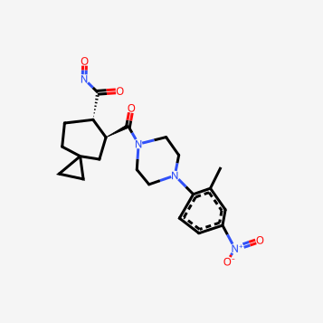 Cc1cc([N+](=O)[O-])ccc1N1CCN(C(=O)[C@H]2CC3(CC[C@@H]2C(=O)N=O)CC3)CC1